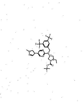 CC[C@@H]1C[C@H](N(Cc2cc(C(F)(F)F)cc(C(F)(F)F)c2)c2ncc(C3C=NN(C)C3)cn2)CN1C(=O)OC(C)(C)C